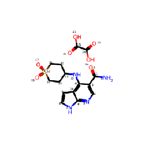 NC(=O)c1cnc2[nH]ccc2c1NC1CCS(=O)(=O)CC1.O=C(O)C(=O)O